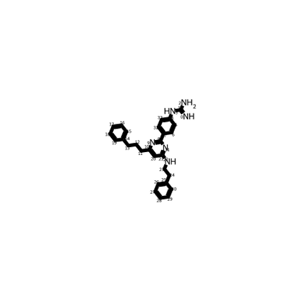 N=C(N)Nc1ccc(-c2nc(CCCc3ccccc3)cc(NCCc3ccccc3)n2)cc1